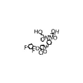 CC(C)(O)C(=O)N1CN(C(=O)CCO)c2cc(Cn3ccc(OCc4ccc(F)cc4F)c(Cl)c3=O)ccc21